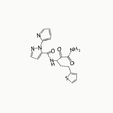 NC(=O)C(=O)C(CCc1cccs1)NC(=O)c1ccnn1-c1ccccn1